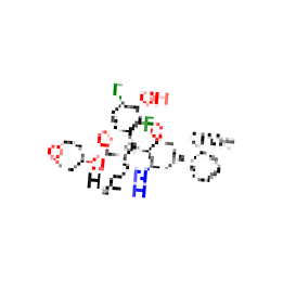 COc1ccccc1[C@H]1CC(=O)C2=C(C1)NC(C)=C(C(=O)OC1CCOCC1)[C@H]2c1ccc(F)c(O)c1F